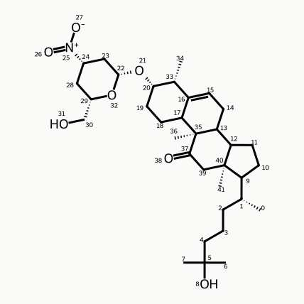 C[C@H](CCCC(C)(C)O)C1CCC2C3CC=C4C(CC[C@H](O[C@H]5C[C@@H]([N+](=O)[O-])C[C@@H](CO)O5)[C@@H]4C)[C@]3(C)C(=O)C[C@@]21C